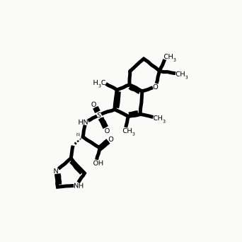 Cc1c(C)c(S(=O)(=O)N[C@@H](Cc2c[nH]cn2)C(=O)O)c(C)c2c1OC(C)(C)CC2